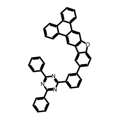 c1ccc(-c2nc(-c3ccccc3)nc(-c3cccc(-c4ccc5oc6cc7c8ccccc8c8ccccc8c7cc6c5c4)c3)n2)cc1